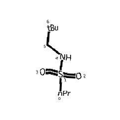 CCCS(=O)(=O)NCC(C)(C)C